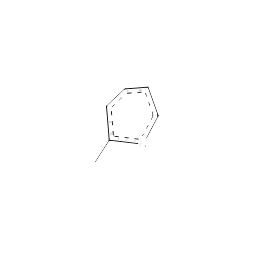 [Cl-].[Fe+][c]1ccccn1